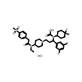 CCN(C(=O)Cc1ccc(S(C)(=O)=O)cc1)C1CCN(CCC(c2cc(F)cc(F)c2)N(C(=O)O)C2CCC(F)(F)CC2)CC1.Cl